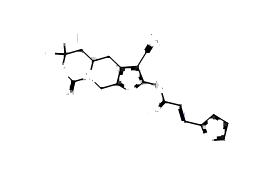 CC1(C)CC2Cc3c(sc(NC(=O)/C=C/c4ccco4)c3C#N)CN2C(=O)O1